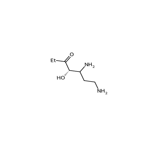 CCC(=O)[C@@H](O)C(N)CCN